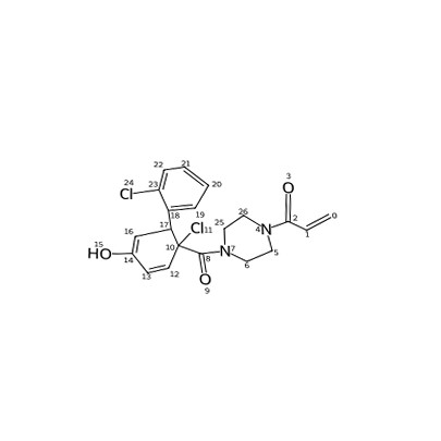 C=CC(=O)N1CCN(C(=O)C2(Cl)C=CC(O)=CC2c2ccccc2Cl)CC1